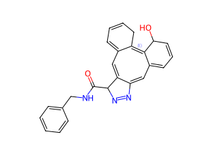 O=C(NCc1ccccc1)C1N=NC2=CC3=CC=CC(O)/C3=C3\CC=CC=C3C=C21